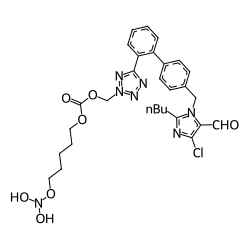 CCCCc1nc(Cl)c(C=O)n1Cc1ccc(-c2ccccc2-c2nnn(COC(=O)OCCCCCON(O)O)n2)cc1